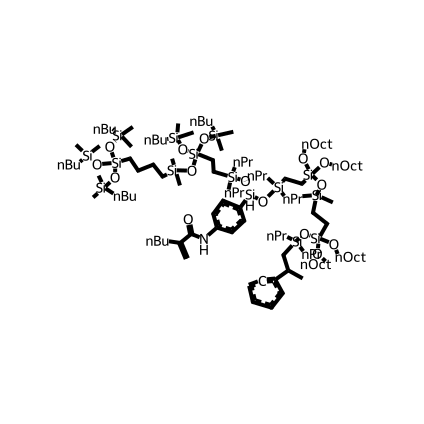 C=C(CCCC)C(=O)Nc1ccc([SiH](O[Si](CCC)(CCC)CC[Si](OCCCCCCCC)(OCCCCCCCC)O[Si](C)(C)CC[Si](OCCCCCCCC)(OCCCCCCCC)O[Si](CCC)(CCC)CC(C)c2ccccc2)O[Si](CCC)(CCC)CC[Si](O[Si](C)(C)CCCC)(O[Si](C)(C)CCCC)O[Si](C)(C)CCCC[Si](O[Si](C)(C)CCCC)(O[Si](C)(C)CCCC)O[Si](C)(C)CCCC)cc1